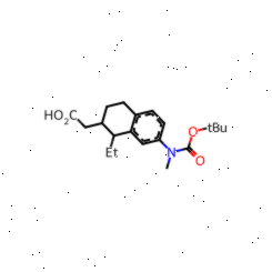 CCC1c2cc(N(C)C(=O)OC(C)(C)C)ccc2CCC1CC(=O)O